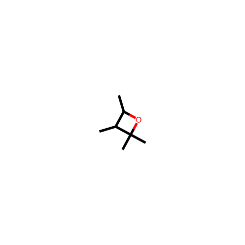 C[C]1C(C)OC1(C)C